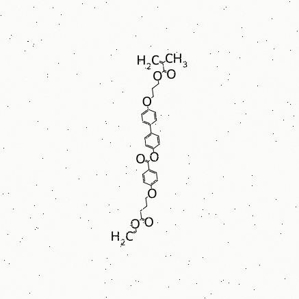 C=COC(=O)CCCOc1ccc(C(=O)Oc2ccc(-c3ccc(OCCCOC(=O)C(=C)C)cc3)cc2)cc1